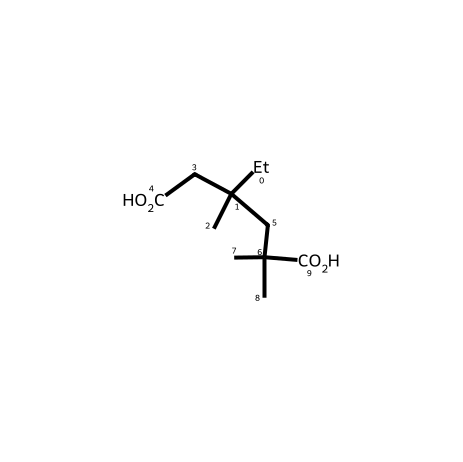 CCC(C)(CC(=O)O)CC(C)(C)C(=O)O